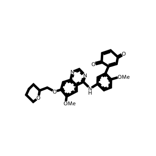 COc1cc2c(Nc3ccc(OC)c(C4=CC(=O)C=CC4=O)c3)ncnc2cc1OCC1CCCCO1